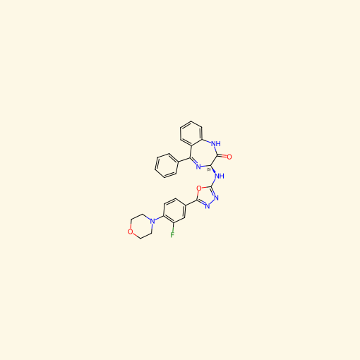 O=C1Nc2ccccc2C(c2ccccc2)=N[C@@H]1Nc1nnc(-c2ccc(N3CCOCC3)c(F)c2)o1